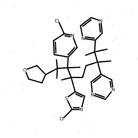 CC(C)(c1cnccn1)C(C)(CCC(C)(c1cnc(Cl)s1)C(C)(c1ccc(Cl)nc1)C(C)(C)C1CCOC1)c1cncnc1